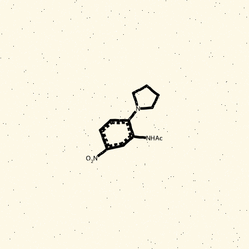 CC(=O)Nc1cc([N+](=O)[O-])ccc1N1CCCC1